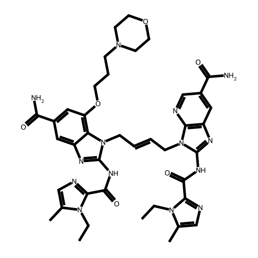 CCn1c(C)cnc1C(=O)Nc1nc2cc(C(N)=O)cnc2n1C/C=C/Cn1c(NC(=O)c2ncc(C)n2CC)nc2cc(C(N)=O)cc(OCCCN3CCOCC3)c21